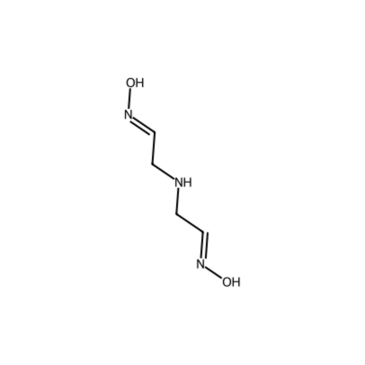 O/N=C/CNC/C=N/O